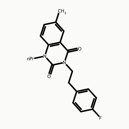 CCCn1c(=O)n(CCc2ccc(F)cc2)c(=O)c2cc(C)ccc21